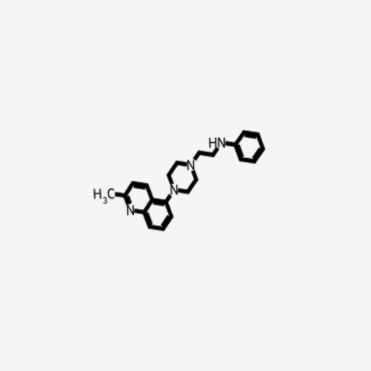 Cc1ccc2c(N3CCN(CCNc4ccccc4)CC3)cccc2n1